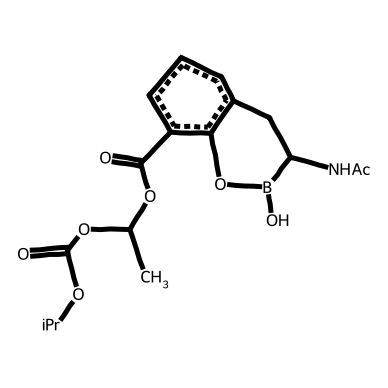 CC(=O)NC1Cc2cccc(C(=O)OC(C)OC(=O)OC(C)C)c2OB1O